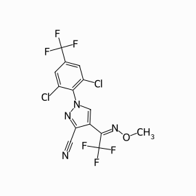 CON=C(c1cn(-c2c(Cl)cc(C(F)(F)F)cc2Cl)nc1C#N)C(F)(F)F